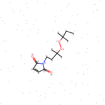 CCC(C)(C)OOC(C)(C)CCN1C(=O)C=CC1=O